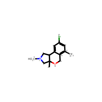 CC12CN(C(=O)O)CC1c1cc(Br)cc(C(F)(F)F)c1CO2